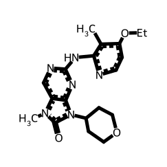 CCOc1ccnc(Nc2ncc3c(n2)n(C2CCOCC2)c(=O)n3C)c1C